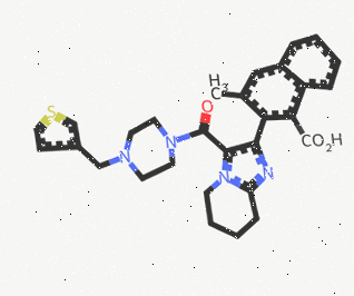 Cc1cc2ccccc2c(C(=O)O)c1-c1nc2n(c1C(=O)N1CCN(Cc3ccsc3)CC1)CCCC2